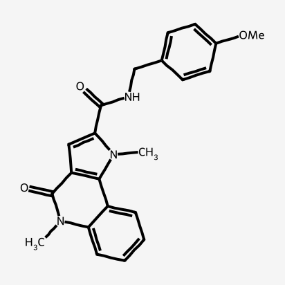 COc1ccc(CNC(=O)c2cc3c(=O)n(C)c4ccccc4c3n2C)cc1